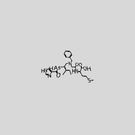 CCC(C)C(CN(CC(=O)NC(CCSC)C(=O)O)Cc1ccccc1)[AsH]C(=O)c1c[nH]cn1